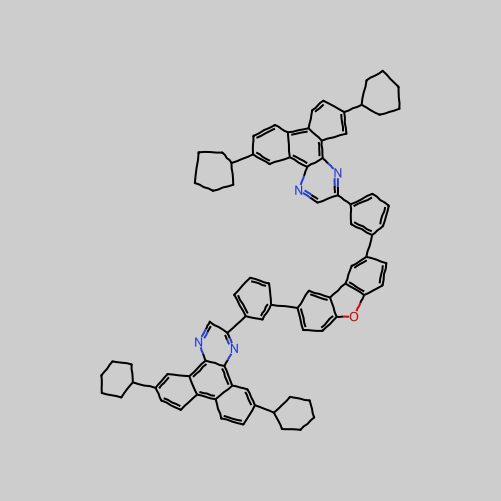 c1cc(-c2ccc3oc4ccc(-c5cccc(-c6cnc7c8cc(C9CCCCC9)ccc8c8ccc(C9CCCCC9)cc8c7n6)c5)cc4c3c2)cc(-c2cnc3c4cc(C5CCCCC5)ccc4c4ccc(C5CCCCC5)cc4c3n2)c1